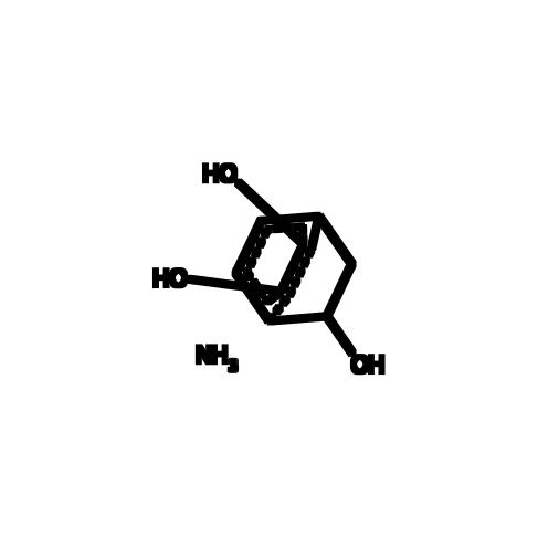 N.Oc1c2ccc(c1O)C(O)C2